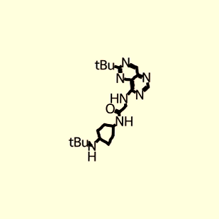 CC(C)(C)NC1CCC(NC(=O)CNc2ncnc3cnc(C(C)(C)C)nc23)CC1